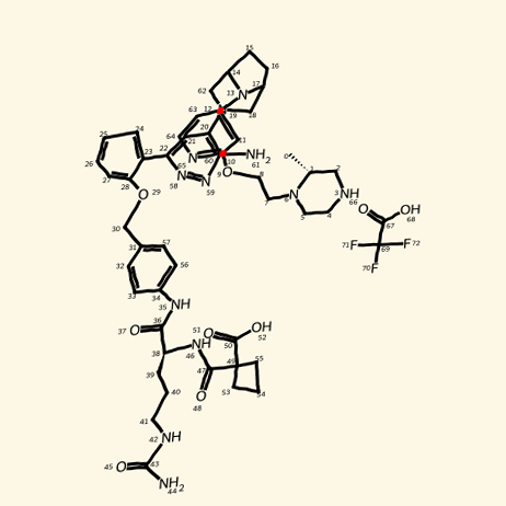 C[C@@H]1CNCCN1CCOc1cc(N2C3CCC2CN(c2cc(-c4ccccc4OCc4ccc(NC(=O)[C@H](CCCNC(N)=O)NC(=O)C5(C(=O)O)CCC5)cc4)nnc2N)C3)ccn1.O=C(O)C(F)(F)F